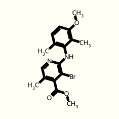 COC(=O)c1c(C)cnc(Nc2c(C)ccc(OC)c2C)c1Br